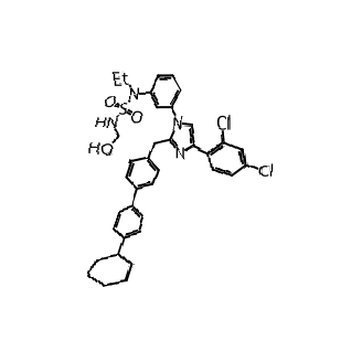 CCN(c1cccc(-n2cc(-c3ccc(Cl)cc3Cl)nc2Cc2ccc(-c3ccc(C4CCCCC4)cc3)cc2)c1)S(=O)(=O)NCO